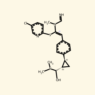 CN(C=N)/C(=C/c1ccc([C@H]2C[C@@H]2C(O)N(C)C)cc1)Sc1ccc(Cl)cn1